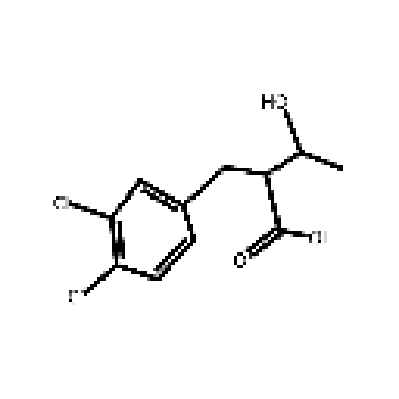 CC(O)C(Cc1ccc(Cl)c(Cl)c1)C(=O)O